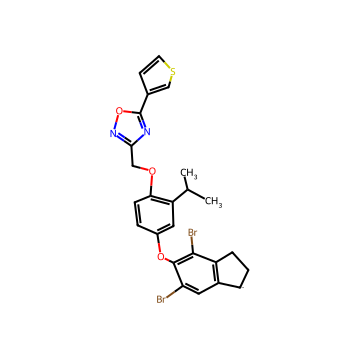 CC(C)c1cc(Oc2c(Br)cc3c(c2Br)CC[CH]3)ccc1OCc1noc(-c2ccsc2)n1